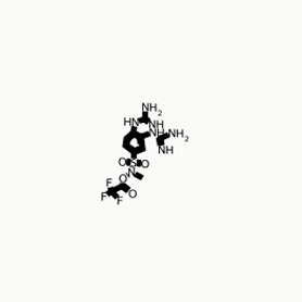 CN(OC(=O)C(F)(F)F)S(=O)(=O)c1ccc(NC(=N)N)c(NC(=N)N)c1